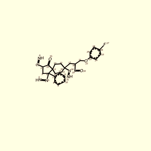 N=NC1CC(N=N)(c2ccccc2)C2(CCC(CC(C=O)COc3ccc(F)cc3)(N=N)CC2)C1=O